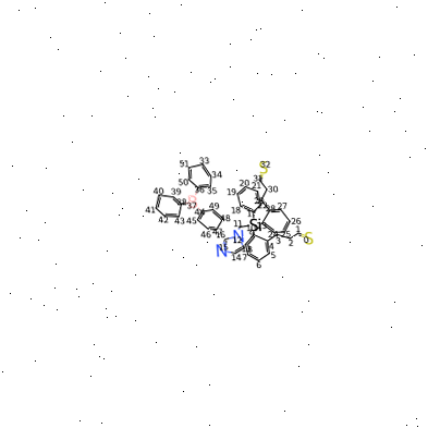 S=CCCc1ccccc1[Si](Cn1ccnc1)(c1ccccc1)c1ccccc1CCC=S.c1ccc(B(c2ccccc2)c2ccccc2)cc1